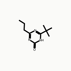 CCCc1nc(C(C)(C)C)[nH]c(=O)n1